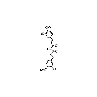 COc1ccc(C=C[S+]([O-])N[S+]([O-])C=Cc2ccc(OC)c(O)c2)cc1O